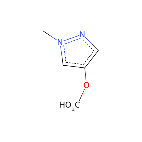 Cn1cc(OC(=O)O)cn1